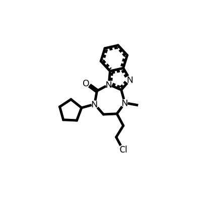 CN1c2nc3ccccc3n2C(=O)N(C2CCCC2)CC1CCCl